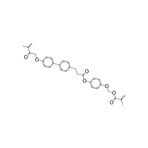 C=C(C)C(=O)COc1ccc(-c2ccc(CCC(=O)Oc3ccc(OCOC(=O)C(=C)C)cc3)cc2)cc1